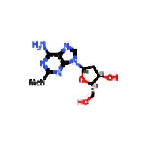 CNc1nc(N)c2ncn([C@H]3C[C@@H](O)[C@H](CO)O3)c2n1